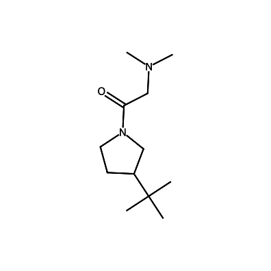 CN(C)CC(=O)N1CCC(C(C)(C)C)C1